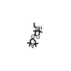 CCNC(C)(C(=O)OC1CC(C)(C)N(C)C(C)(C)C1)C(C)(C)C